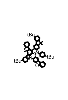 CC(C)(C)c1ccc(N2B3c4cc5c(cc4-n4c6ccc(C(C)(C)C)cc6c6c7sc8ccccc8c7c(c3c64)-c3cc4c(cc32)C(C)(C)c2ccc(C(C)(C)C)cc2-4)oc2ccccc25)cc1